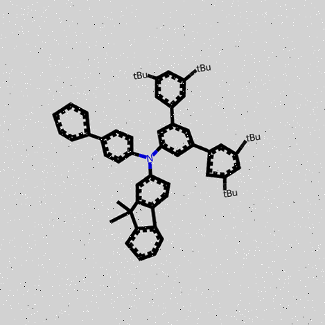 CC(C)(C)c1cc(-c2cc(-c3cc(C(C)(C)C)cc(C(C)(C)C)c3)cc(N(c3ccc(-c4ccccc4)cc3)c3ccc4c(c3)C(C)(C)c3ccccc3-4)c2)cc(C(C)(C)C)c1